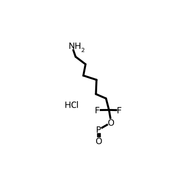 Cl.NCCCCCCC(F)(F)OP=O